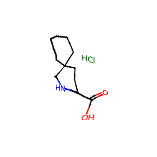 Cl.O=C(O)C1CC2(CCCC2)CN1